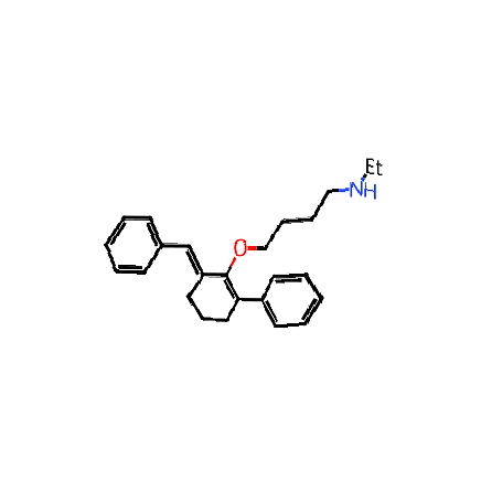 CCNCCCCOC1=C(c2ccccc2)CCCC1=Cc1ccccc1